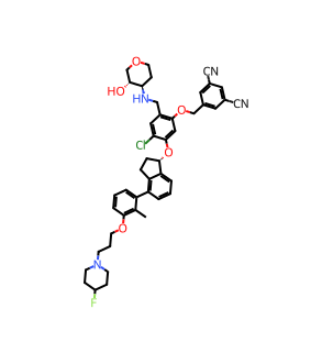 Cc1c(OCCCN2CCC(F)CC2)cccc1-c1cccc2c1CC[C@@H]2Oc1cc(OCc2cc(C#N)cc(C#N)c2)c(CN[C@@H]2CCOC[C@H]2O)cc1Cl